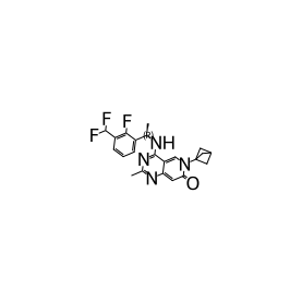 Cc1nc(N[C@H](C)c2cccc(C(F)F)c2F)c2cn(C34CC(C3)C4)c(=O)cc2n1